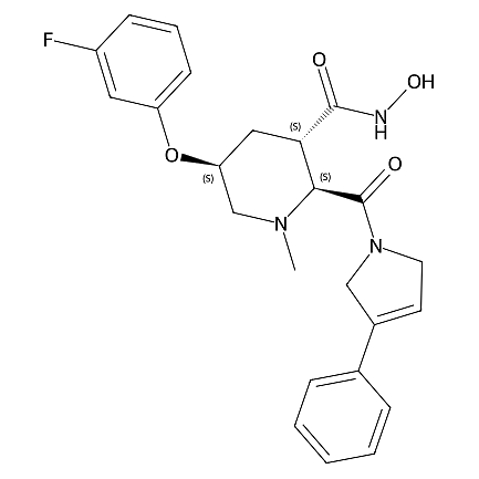 CN1C[C@@H](Oc2cccc(F)c2)C[C@H](C(=O)NO)[C@H]1C(=O)N1CC=C(c2ccccc2)C1